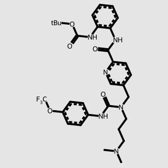 CN(C)CCCN(Cc1ccc(C(=O)Nc2ccccc2NC(=O)OC(C)(C)C)nc1)C(=O)Nc1ccc(OC(F)(F)F)cc1